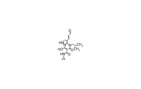 CC(C)CN1C(=O)C(C(=O)NC2CC2)=C(O)N2NCC(/C=C/C=O)=C12